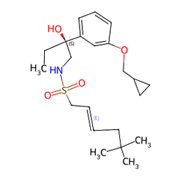 CC[C@@](O)(CNS(=O)(=O)C/C=C/CC(C)(C)C)c1cccc(OCC2CC2)c1